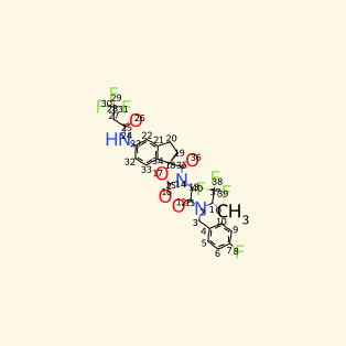 C[C@H](N(Cc1ccc(F)cc1)C(=O)CN1C(=O)O[C@@]2(CCc3cc(NC(=O)CC(F)(F)F)ccc32)C1=O)C(F)(F)F